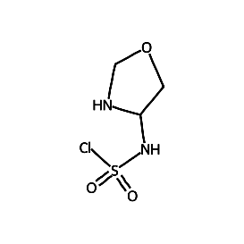 O=S(=O)(Cl)NC1COCN1